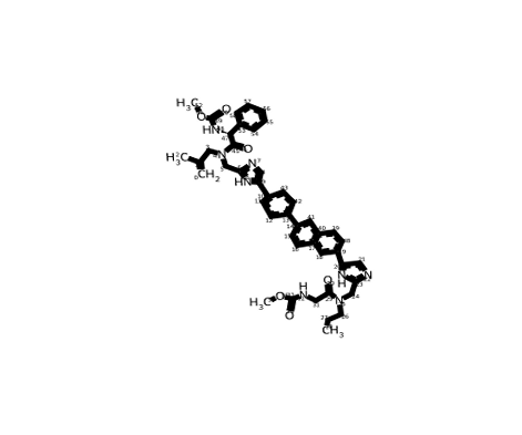 C=C(C)CN(Cc1ncc(-c2ccc(-c3ccc4cc(-c5cnc(CN(CCC)C(=O)CNC(=O)OC)[nH]5)ccc4c3)cc2)[nH]1)C(=O)[C@H](NC(=O)OC)c1ccccc1